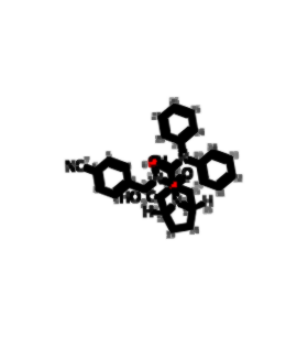 CN(Cc1ccc(C#N)cc1)C(=O)N1[C@H]2CC[C@@H]1[C@@H](C(=O)O)N(C(=O)N(c1ccccc1)c1ccccc1)C2